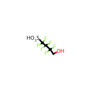 O=S(=O)(O)C(F)(F)C(F)(F)C(F)(F)CO